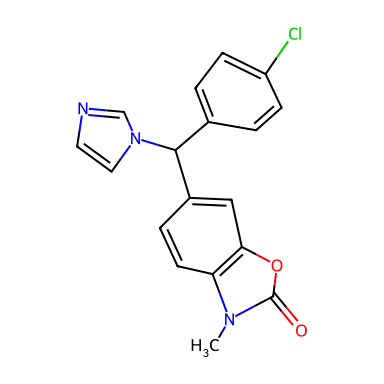 Cn1c(=O)oc2cc(C(c3ccc(Cl)cc3)n3ccnc3)ccc21